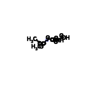 CCCCOc1cc(/C=C/C(=O)c2ccc(S(=O)(=O)NCCC(=O)O)cc2)ccc1OC